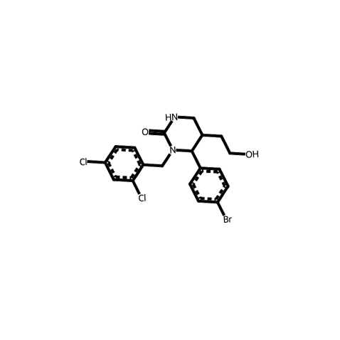 O=C1NCC(CCO)C(c2ccc(Br)cc2)N1Cc1ccc(Cl)cc1Cl